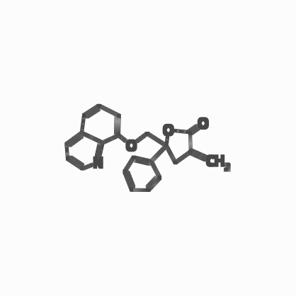 C=C1CC(COc2cccc3cccnc23)(c2ccccc2)OC1=O